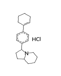 C1=C(c2ccc(C3CCC4CCCCN43)cc2)CCCC1.Cl